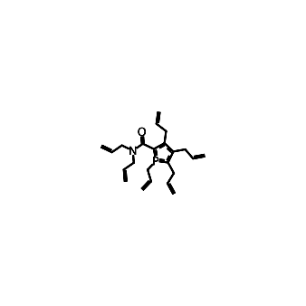 C=CCc1c(CC=C)c(C(=O)N(CC=C)CC=C)p(CC=C)c1CC=C